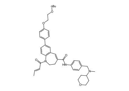 CC=CC(=O)N1CCC(C(=O)Nc2ccc(CN(C)C3CCOCC3)cc2)=Cc2cc(-c3ccc(OCCOCCCC)cc3)ccc21